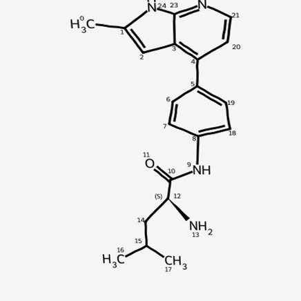 Cc1cc2c(-c3ccc(NC(=O)[C@@H](N)CC(C)C)cc3)ccnc2[nH]1